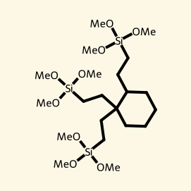 CO[Si](CCC1CCCCC1(CC[Si](OC)(OC)OC)CC[Si](OC)(OC)OC)(OC)OC